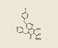 CNC(=O)c1c(O)c2ncc(Cc3ccc(F)cc3)cc2n(Cc2ccncc2)c1=O